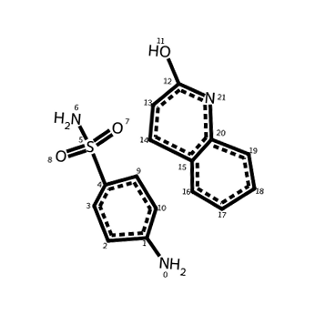 Nc1ccc(S(N)(=O)=O)cc1.Oc1ccc2ccccc2n1